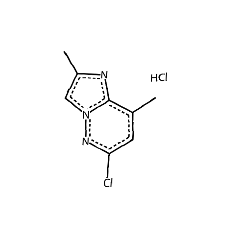 Cc1cn2nc(Cl)cc(C)c2n1.Cl